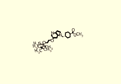 COC(=O)[C@H]1CC[C@H](Cn2ccc3ncc(OCCO[Si](C)(C)C(C)(C)C)cc32)CC1